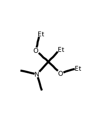 CCOC(CC)(OCC)N(C)C